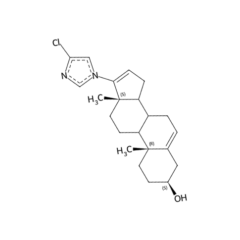 C[C@]12CC[C@H](O)CC1=CCC1C2CC[C@]2(C)C(n3cnc(Cl)c3)=CCC12